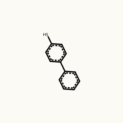 Sc1ccc(-c2cc[c]cc2)cc1